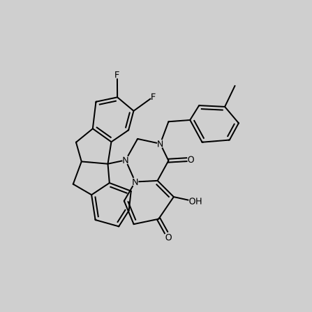 Cc1cccc(CN2CN(C34c5ccccc5CC3Cc3cc(F)c(F)cc34)n3ccc(=O)c(O)c3C2=O)c1